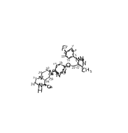 Cc1nnn(-c2ccc(F)cc2)c1COc1ccc(N2CCN3CCNC(=O)C3C2)nn1